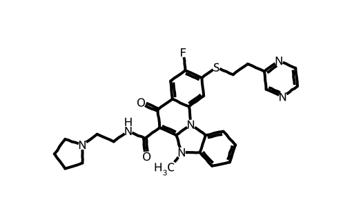 Cn1c2ccccc2n2c3cc(SCCc4cnccn4)c(F)cc3c(=O)c(C(=O)NCCN3CCCC3)c12